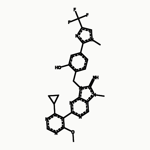 COc1ncnc(C2CC2)c1-c1ncc2c(n1)n(Cc1ccc(-c3nc(C(F)(F)F)cn3C)cc1O)c(=N)n2C